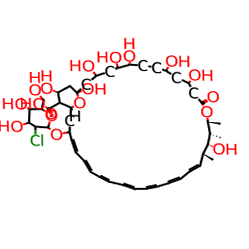 C[C@@H]1[C@H](O)[C@@H](C)/C=C/C=C/C=C/C=C/C=C/C=C/C=C/C(OC2OC(CO)C(O)C(O)C2Cl)C[C@@H]2OC(O)(CC(O)CC(O)C(O)CCC(O)CC(O)CC(=O)O[C@H]1C)C[C@H](O)C2C(=O)O